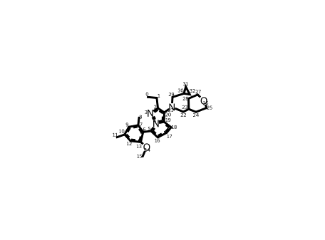 CCc1nn2c(-c3c(C)cc(C)cc3OC)cccc2c1N(CC1CCOCC1)CC1CC1